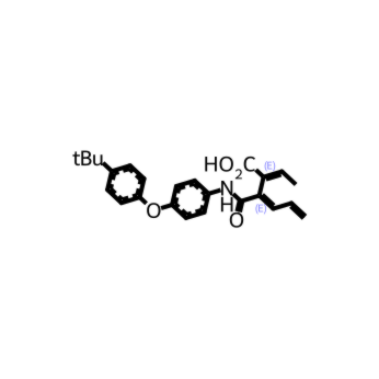 C=C/C=C(C(=O)Nc1ccc(Oc2ccc(C(C)(C)C)cc2)cc1)\C(=C/C)C(=O)O